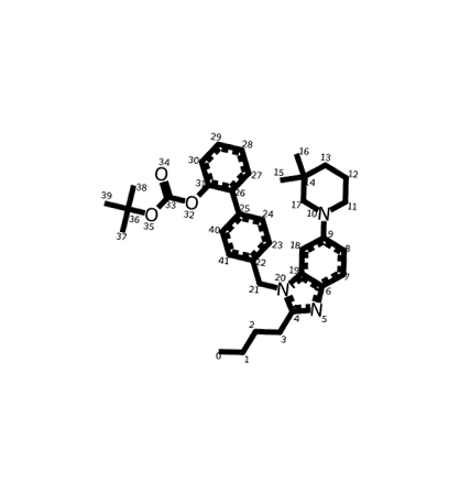 CCCCc1nc2ccc(N3CCCC(C)(C)C3)cc2n1Cc1ccc(-c2ccccc2OC(=O)OC(C)(C)C)cc1